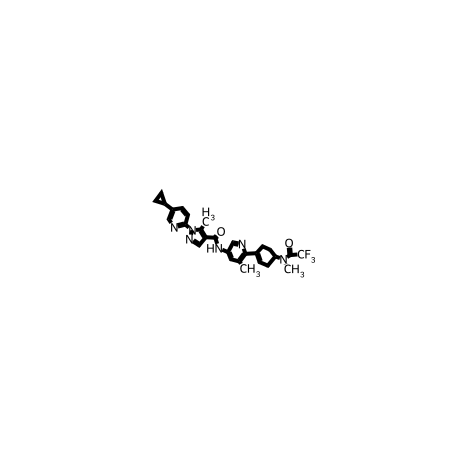 Cc1cc(NC(=O)c2cnn(-c3ccc(C4CC4)cn3)c2C)cnc1C1=CCC(N(C)C(=O)C(F)(F)F)CC1